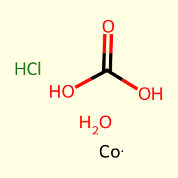 Cl.O.O=C(O)O.[Co]